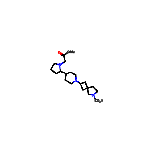 COC(=O)CN1CCCC1C1CCN(C2CC3(CCN(C(=O)O)C3)C2)CC1